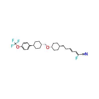 N#C/C(F)=C/C=C/CC[C@H]1CC[C@H](OC[C@H]2CC[C@H](c3ccc(OC(F)(F)F)cc3)CC2)CC1